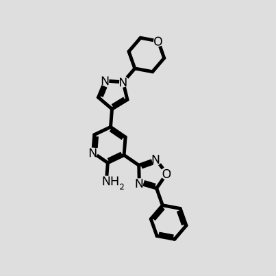 Nc1ncc(-c2cnn(C3CCOCC3)c2)cc1-c1noc(-c2ccccc2)n1